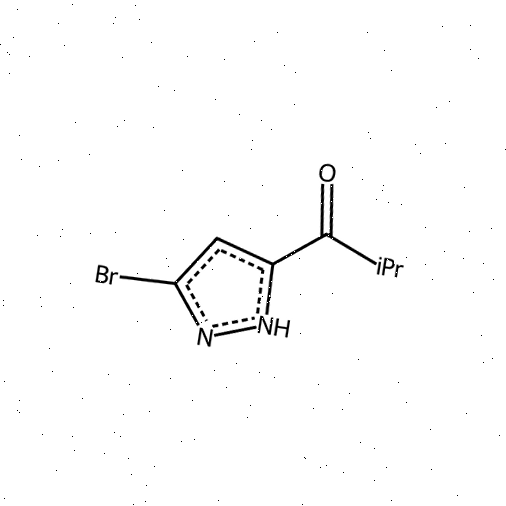 CC(C)C(=O)c1cc(Br)n[nH]1